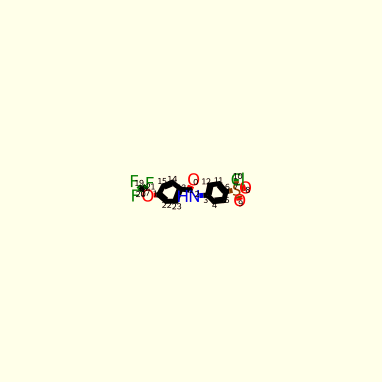 O=C(Nc1ccc(S(=O)(=O)Cl)cc1)c1ccc(OC(F)(F)F)cc1